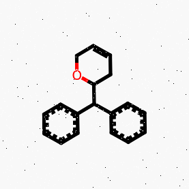 C1=CCC(C(c2ccccc2)c2ccccc2)OC1